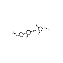 CCc1cc(F)c(C#Cc2ccc(-c3ccc(N=C=S)cc3)c(F)c2)c(F)c1